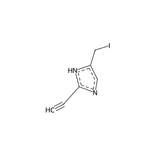 C#Cc1ncc(CI)[nH]1